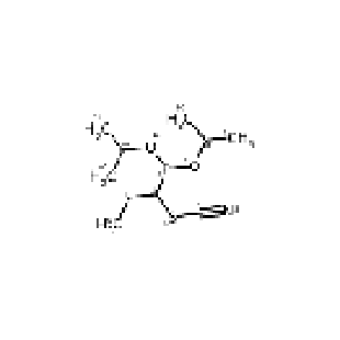 CCC(SC#N)P(OC(C)C)OC(C)C